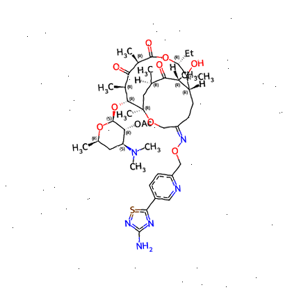 CC[C@H]1OC(=O)[C@H](C)C(=O)[C@H](C)[C@@H](O[C@@H]2O[C@H](C)C[C@H](N(C)C)[C@H]2OC(C)=O)[C@@]2(C)C[C@@H](C)C(=O)[C@H](C)[C@@H](CCC(=NOCc3ccc(-c4nc(N)ns4)cn3)CO2)[C@]1(C)O